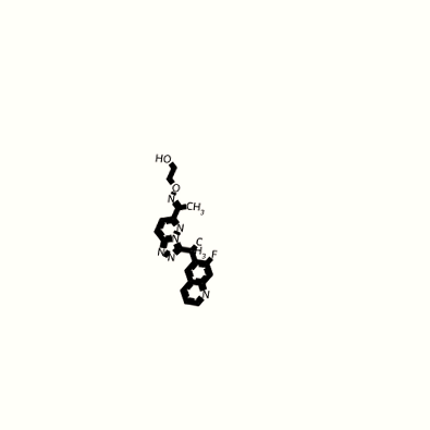 CC(=NOCCO)c1ccc2nnc(C(C)c3cc4cccnc4cc3F)n2n1